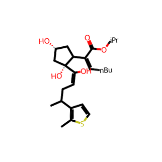 CCCCC=C(C(=O)OC(C)C)C1C[C@@H](O)C[C@]1(O)/C(O)=C\CC(C)c1ccsc1C